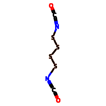 O=C=NSSSSN=C=O